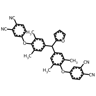 Cc1cc(C(c2cc(C)c(Oc3ccc(C#N)c(C#N)c3)c(C)c2)c2ccco2)cc(C)c1Oc1ccc(C#N)c(C#N)c1